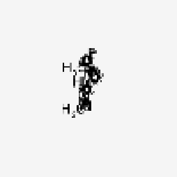 Cc1ncn(-c2ccc(Nc3cccn4cc(-c5cc(F)ccc5C)nc34)cn2)n1